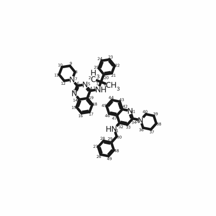 CC(C)(Nc1nc(N2CCCCC2)nc2ccccc12)c1ccccc1.c1ccc(CNc2cc(N3CCCCC3)nc3ccccc23)cc1